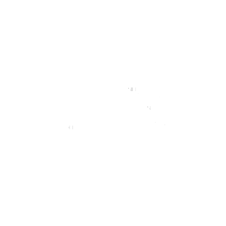 CN(C)c1ccc(C(=O)c2ccccc2O)c(O)c1N